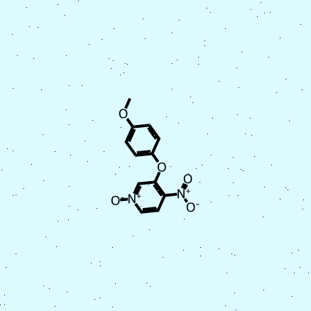 COc1ccc(Oc2c[n+]([O-])ccc2[N+](=O)[O-])cc1